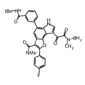 BN(C)C(=O)C(=O)c1c[nH]c2c(-c3cccc(C(=O)NC(C)(C)C)c3)cc3c(C(=O)NC)c(-c4ccc(F)cc4)oc3c12